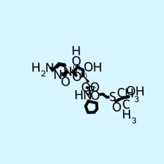 CC(C)(CO)C(=O)SCCOP(=O)(NC1CCCCC1)OC[C@H]1O[C@@H](n2ccc(N)nc2=O)[C@@H](O)C1O